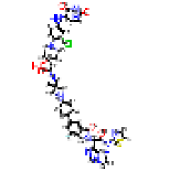 O=C1CCC(Nc2ccc(N3CCC(O)(CC(=O)N4CC5(C4)CN(c4ccc(-c6cc(F)c7c(c6)C(=O)N(C(C(=O)Nc6nccs6)c6ncn8c6CCC8)C7)cc4)C5)CC3)c(Cl)c2)C(=O)N1